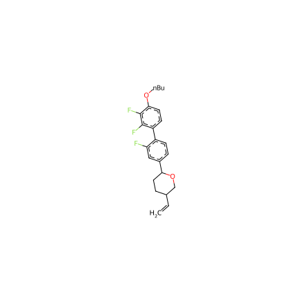 C=CC1CCC(c2ccc(-c3ccc(OCCCC)c(F)c3F)c(F)c2)OC1